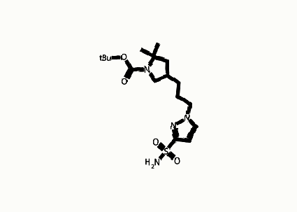 CC(C)(C)OC(=O)N1CC(CCCn2ccc(S(N)(=O)=O)n2)CC1(C)C